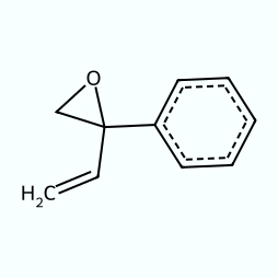 C=CC1(c2ccccc2)CO1